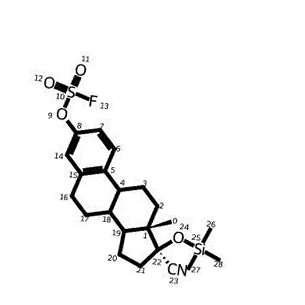 C[C@]12CCC3c4ccc(OS(=O)(=O)F)cc4CCC3C1CC[C@]2(C#N)O[Si](C)(C)C